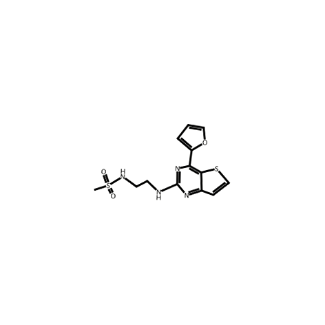 CS(=O)(=O)NCCNc1nc(-c2ccco2)c2sccc2n1